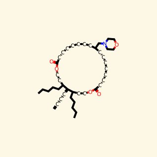 C=C=C=C=C1C(CCCCC)CCOC(=O)CCCCCCCC(CN2CCOCC2)CCCCCCCC(=O)OCCC1CCCCC